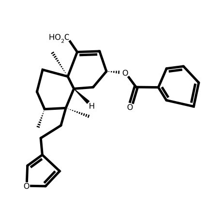 C[C@@H]1CC[C@@]2(C)C(C(=O)O)=C[C@H](OC(=O)c3ccccc3)C[C@@H]2[C@@]1(C)CCc1ccoc1